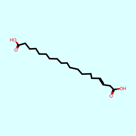 O=C(O)C/C=C/CCCCCCCCCCCCCCC(=O)O